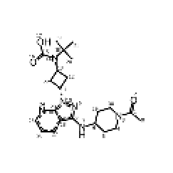 CC(=O)N1CCC(Nc2nn([C@H]3C[C@H](N(C(=O)O)C(C)(C)C)C3)c3ncccc23)CC1